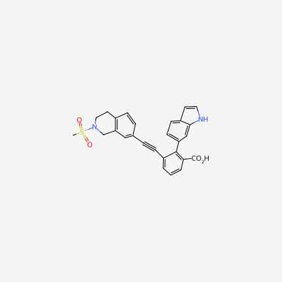 CS(=O)(=O)N1CCc2ccc(C#Cc3cccc(C(=O)O)c3-c3ccc4cc[nH]c4c3)cc2C1